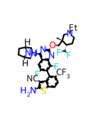 CCN1CC[C@H](C(F)F)[C@](C)(COc2nc(N3C[C@H]4CC[C@@H](C3)N4)c3cc(F)c(-c4c(C(F)(F)F)ccc5sc(N)c(C#N)c45)c(F)c3n2)C1